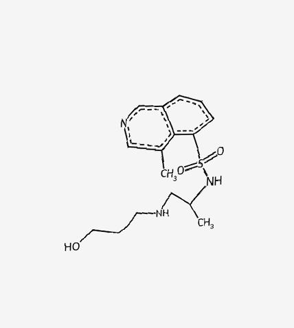 Cc1cncc2cccc(S(=O)(=O)NC(C)CNCCCO)c12